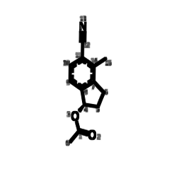 CC(=O)O[C@@H]1CCc2c1ccc(C#N)c2C